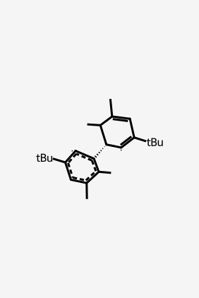 CC1=CC(C(C)(C)C)=[C][C@H](c2[c]c(C(C)(C)C)cc(C)c2C)C1C